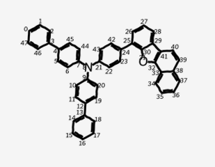 c1ccc(-c2ccc(N(c3ccc(-c4ccccc4)cc3)c3ccc(-c4cccc5c4oc4c6ccccc6ccc54)cc3)cc2)cc1